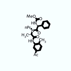 CCCN(C(=O)[C@H](NC(=O)OC)c1ccccc1)[C@@H](C)C(=O)Nc1cc(C(C)=O)ccc1C